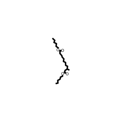 CCCCCCOC(=O)CCCCCCCCC(C)CC(=O)OCCCCCC